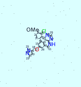 COc1cccc(-c2cc(NC(C)c3cccc(OCc4cc(C)nn4C)c3)nc(C)n2)c1Cl